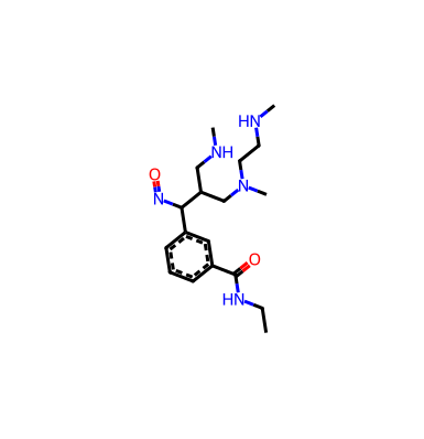 CCNC(=O)c1cccc(C(N=O)C(CNC)CN(C)CCNC)c1